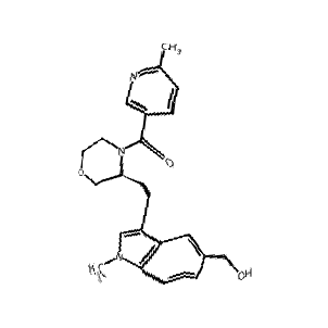 Cc1ccc(C(=O)N2CCOC[C@@H]2Cc2cn(C)c3ccc(CO)cc23)cn1